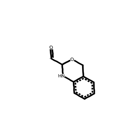 O=[C]C1Nc2ccccc2CO1